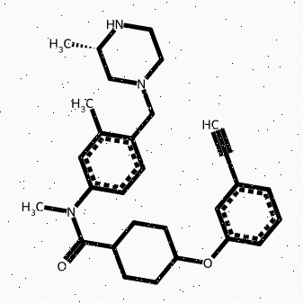 C#Cc1cccc(OC2CCC(C(=O)N(C)c3ccc(CN4CCN[C@@H](C)C4)c(C)c3)CC2)c1